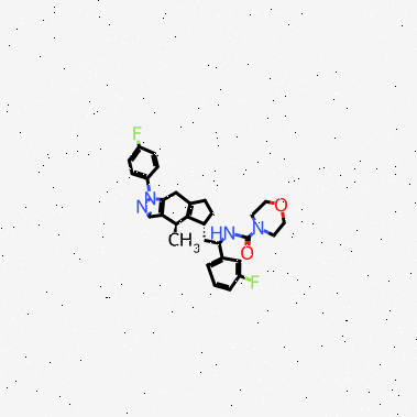 C[C@@H]1C2=C(CC[C@@H]2CC(NC(=O)N2CCOCC2)c2cccc(F)c2)Cc2c1cnn2-c1ccc(F)cc1